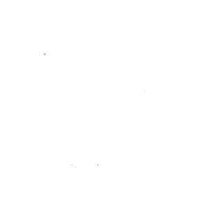 CC(C)c1ccc(OCCc2ccc(CN3CCN(C(=O)c4ccc5cc(Oc6ccc(OCc7cccc(F)c7F)cn6)ccc5c4)CC3)cc2)cc1